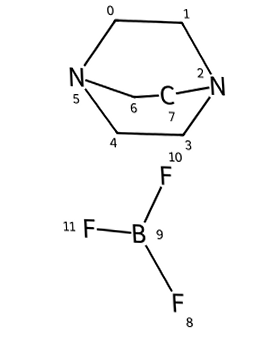 C1CN2CCN1CC2.FB(F)F